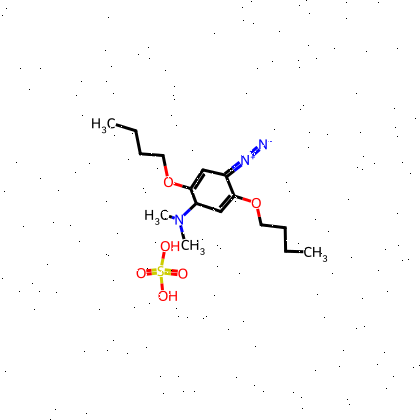 CCCCOC1=CC(N(C)C)C(OCCCC)=CC1=[N+]=[N-].O=S(=O)(O)O